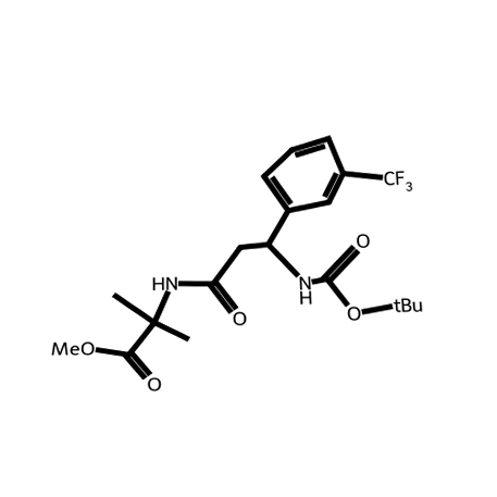 COC(=O)C(C)(C)NC(=O)CC(NC(=O)OC(C)(C)C)c1cccc(C(F)(F)F)c1